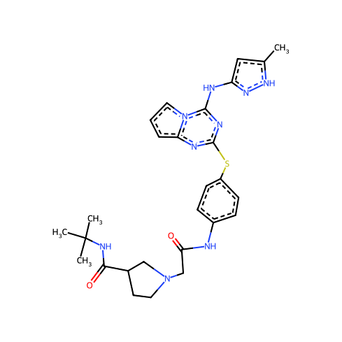 Cc1cc(Nc2nc(Sc3ccc(NC(=O)CN4CCC(C(=O)NC(C)(C)C)C4)cc3)nc3cccn23)n[nH]1